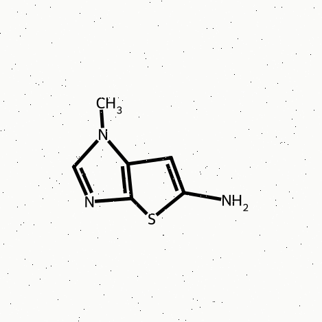 Cn1cnc2sc(N)cc21